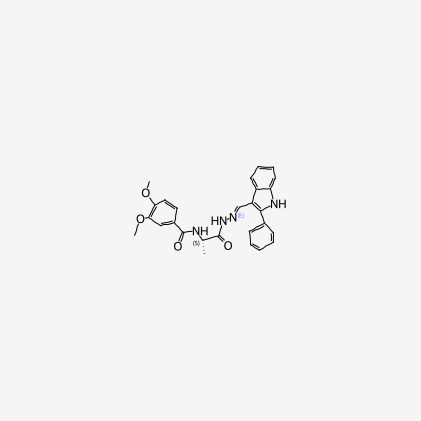 COc1ccc(C(=O)N[C@@H](C)C(=O)N/N=C/c2c(-c3ccccc3)[nH]c3ccccc23)cc1OC